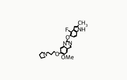 COc1cc2cnc(Oc3ccc4[nH]c(C)cc4c3F)nc2cc1OCCCN1CCCC1